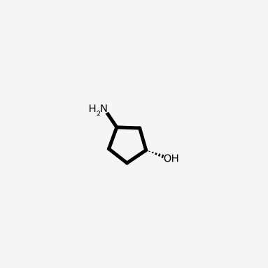 NC1CC[C@@H](O)C1